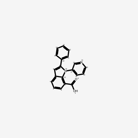 O=C(O)c1cccc2cc(-c3ccccc3)n(-c3cccnc3)c12